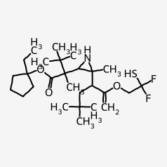 C=C(OCC(F)(F)S)C(CC(C)(C)C)C1(C)NC1C(C)(C(=O)OC1(CC)CCCC1)C(C)(C)C